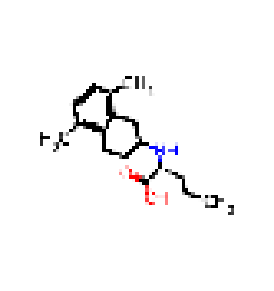 CCC[C@H](NC1CCc2c(C)ccc(C)c2C1)C(=O)O